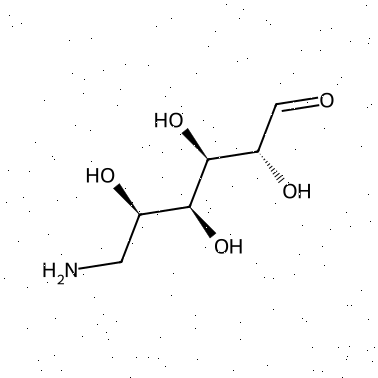 NC[C@@H](O)[C@H](O)[C@@H](O)[C@@H](O)C=O